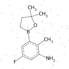 Cc1c(N)cc(F)cc1B1CCC(C)(C)O1